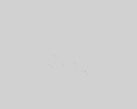 CN[C@@H]1CCN(c2cc(COC3CC3)nc(N)n2)C1